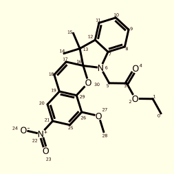 CCOC(=O)CN1c2ccccc2C(C)(C)C12C=Cc1cc([N+](=O)[O-])cc(OC)c1O2